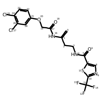 C=C(CCNC(=O)c1cnc(C(F)(F)F)s1)NC(=O)COc1ccc(Cl)c(Cl)c1